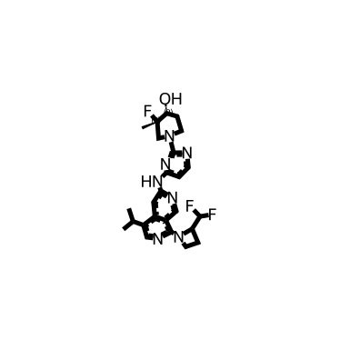 CC(C)c1cnc(N2CCC2C(F)F)c2cnc(Nc3ccnc(N4CC[C@@H](O)[C@@](C)(F)C4)n3)cc12